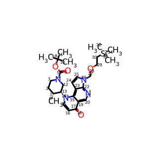 C[C@@H]1CCN(C(=O)OC(C)(C)C)C[C@@H]1n1ccc(=O)c2cnc3c(ccn3COCC[Si](C)(C)C)c21